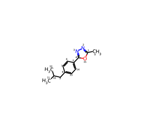 Cc1nnc(-c2ccc(CC(C)C)cc2)o1